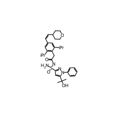 CC(C)c1cc(/C=C\C2CCOCC2)cc(C(C)C)c1CC(=O)N=S(N)(=O)c1cc(C(C)(C)O)n(-c2ccccc2)n1